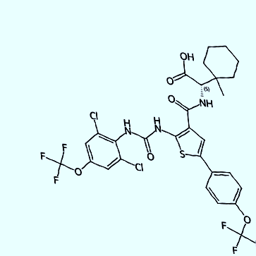 CC1([C@H](NC(=O)c2cc(-c3ccc(OC(F)(F)F)cc3)sc2NC(=O)Nc2c(Cl)cc(OC(F)(F)F)cc2Cl)C(=O)O)CCCCC1